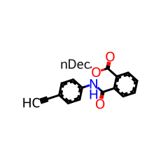 C#Cc1ccc(NC(=O)c2ccccc2C(=O)OCCCCCCCCCC)cc1